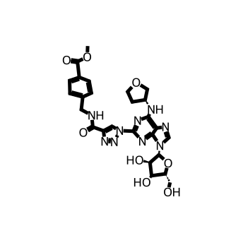 COC(=O)c1ccc(CNC(=O)c2cn(-c3nc(N[C@@H]4CCOC4)c4ncn([C@@H]5O[C@H](CO)[C@@H](O)[C@H]5O)c4n3)nn2)cc1